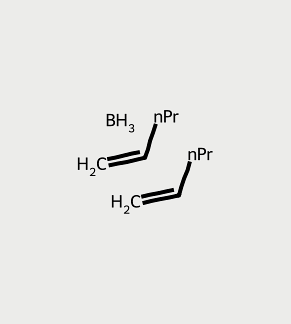 B.C=CCCC.C=CCCC